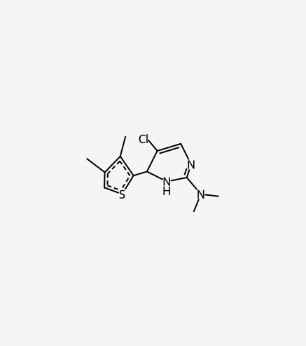 Cc1csc(C2NC(N(C)C)=NC=C2Cl)c1C